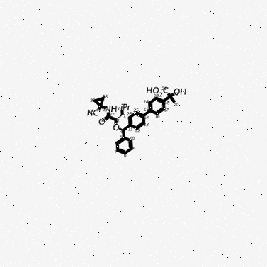 CC(C)C[C@H](O[C@H](c1ccccc1)c1ccc(-c2ccc(C(C)(O)C(=O)O)cc2)cc1)C(=O)NC1(C#N)CC1